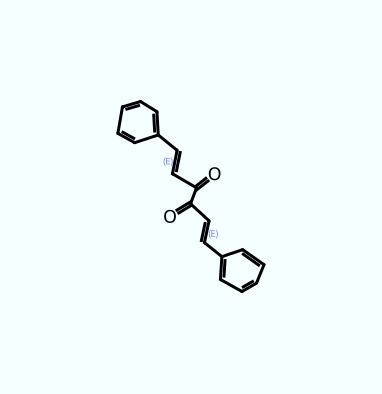 O=C(/C=C/c1ccccc1)C(=O)/C=C/c1ccccc1